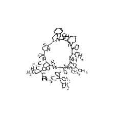 C=CC(C)(C)OC[C@@H]1NC(=O)[C@H]([C@@H](C)OC(C)(C)C=C)NC(=O)C2CSC(=N2)[C@@H](Cc2ccccc2)NC(=O)[C@@H]2CCCN2C(=O)C(C)NC(=O)[C@H]([C@@H](C)CC)NC1=O